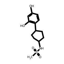 CS(=O)(=O)NC1CCC(c2ccc(O)cc2O)CC1